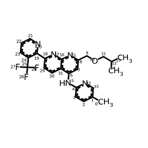 Cc1ccc(Nc2cc(COCC(C)C)nc3nc(-c4ncccc4C(F)(F)F)ccc23)nc1